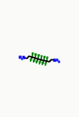 NCCC(F)(F)C(F)(F)C(F)(F)C(F)(F)C(F)(F)C(F)(F)CCN